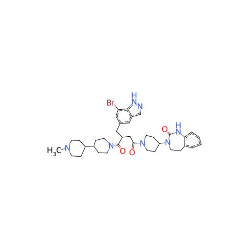 CN1CCC(C2CCN(C(=O)C(CC(=O)N3CCC(N4CCc5ccccc5NC4=O)CC3)Cc3cc(Br)c4[nH]ncc4c3)CC2)CC1